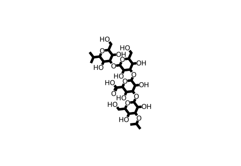 CC(C)OC1C(O)C(CO)OC(OC2C(O)C(OC3C(O)C(CO)OC(OC4C(O)C(CO)OC(C(C)C)C4O)C3O)OC(C(=O)O)C2O)C1O